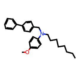 CCCCCCCCN(Cc1ccc(-c2ccccc2)cc1)c1ccc(OC)cc1